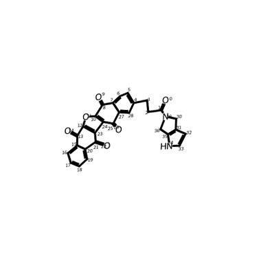 O=C(CCc1ccc2c(=O)c3oc4c(=O)c5ccccc5c(=O)c4c3c(=O)c2c1)N1Cc2cc[nH]c2C1